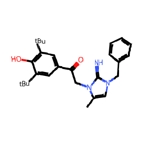 Cc1cn(Cc2ccccc2)c(=N)n1CC(=O)c1cc(C(C)(C)C)c(O)c(C(C)(C)C)c1